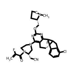 C=C(F)C(=O)N1CCN(c2nc(OC[C@@H]3CCCN3C)nc3c2CC[C@@]24c5cccc(Cl)c5CC2[C@]34F)C[C@@H]1CC#N